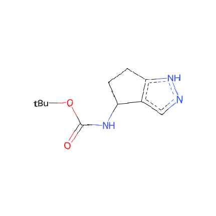 CC(C)(C)OC(=O)NC1CCc2[nH]ncc21